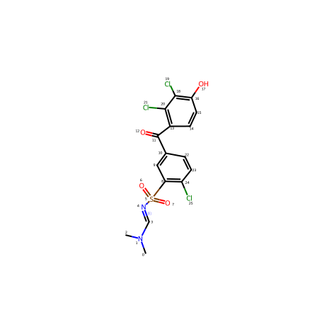 CN(C)/C=N/S(=O)(=O)c1cc(C(=O)c2ccc(O)c(Cl)c2Cl)ccc1Cl